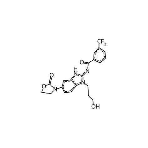 O=C(/N=c1\[nH]c2cc(N3CCOC3=O)ccc2n1CCCO)c1cccc(C(F)(F)F)c1